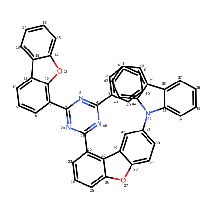 c1ccc(-c2nc(-c3cccc4c3oc3ccccc34)nc(-c3cccc4oc5ccc(-n6c7ccccc7c7ccccc76)cc5c34)n2)cc1